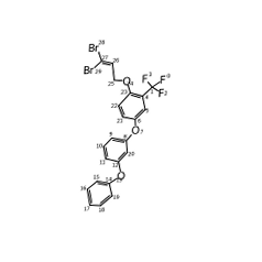 FC(F)(F)c1cc(Oc2cccc(Oc3ccccc3)c2)ccc1OCC=C(Br)Br